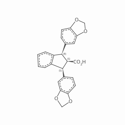 O=C(O)[C@@H]1[C@H](c2ccc3c(c2)OCO3)c2ccccc2[C@@H]1c1ccc2c(c1)OCO2